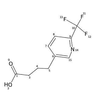 O=C(O)CCCc1ccc(C(F)(F)F)nc1